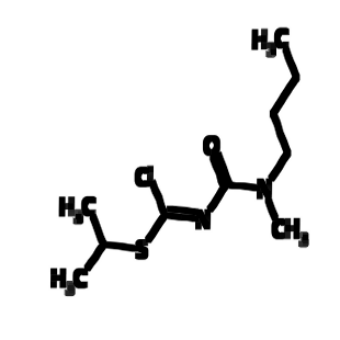 CCCCN(C)C(=O)N=C(Cl)SC(C)C